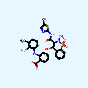 Cc1cccc(Nc2ccccc2C(=O)O)c1C.Cc1cnc(NC(=O)C2=C(O)c3ccccc3S(=O)(=O)N2C)s1